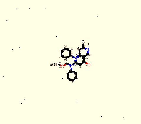 CNOCN(c1ccccc1)c1cc(=O)c2cnc(C)cc2n1-c1ccccc1